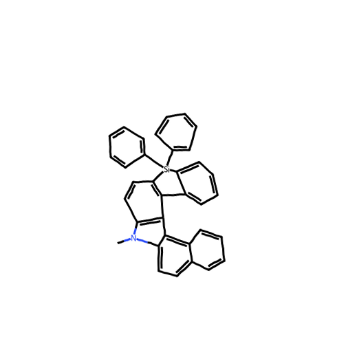 Cn1c2ccc3c(c2c2c4ccccc4ccc21)-c1ccccc1[Si]3(c1ccccc1)c1ccccc1